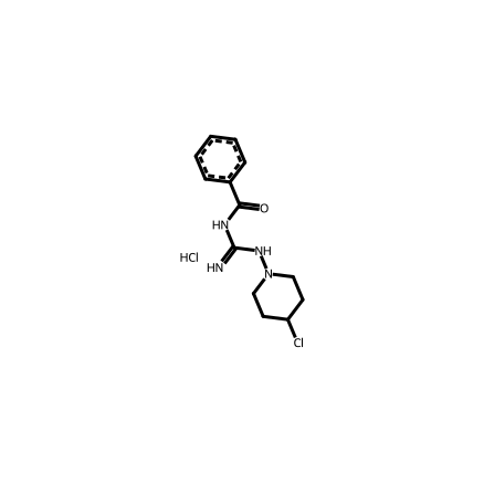 Cl.N=C(NC(=O)c1ccccc1)NN1CCC(Cl)CC1